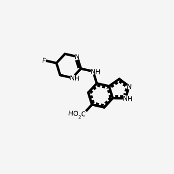 O=C(O)c1cc(NC2=NCC(F)CN2)c2cn[nH]c2c1